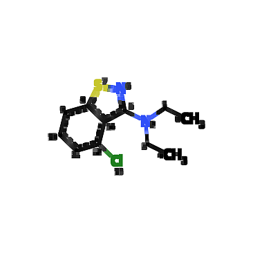 CCN(CC)c1nsc2cccc(Cl)c12